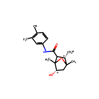 CC12C[C@H](O)C(C)(O1)C(C(=O)Nc1ccc(C#N)c(C(F)(F)F)c1)[C@@H]2C(=O)O